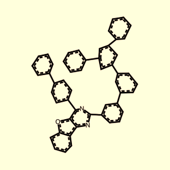 c1ccc(-c2ccc(-c3nc(-c4cccc(-c5cccc(-c6cc(-c7ccccc7)cc(-c7ccccc7)c6)c5)c4)nc4c3oc3ccccc34)cc2)cc1